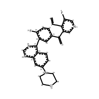 C=Cc1c(F)cncc1C(=C)c1ccc(F)c(-c2ncnc3cc(N4CCOCC4)ccc23)c1